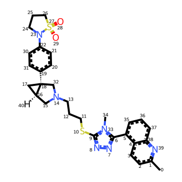 Cc1ccc2c(-c3nnc(SCCCN4C[C@H]5C[C@@]5(c5ccc(N6CCCS6(=O)=O)cc5)C4)n3C)cccc2n1